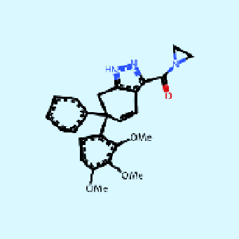 COc1ccc(C2(c3ccccc3)C=Cc3c(C(=O)N4CC4)n[nH]c3C2)c(OC)c1OC